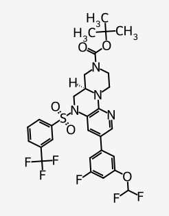 CC(C)(C)OC(=O)N1CCN2c3ncc(-c4cc(F)cc(OC(F)F)c4)cc3N(S(=O)(=O)c3cccc(C(F)(F)F)c3)C[C@H]2C1